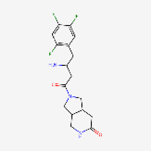 NC(CC(=O)N1CC2CNC(=O)CC2C1)Cc1cc(F)c(F)cc1F